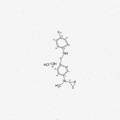 CN(c1ccc(CNc2ccc(F)cc2)cc1)C1CC1.Cl.Cl